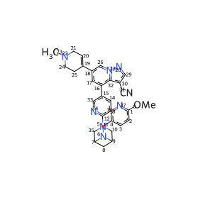 COc1ccc(CN2C3CC2CN(c2ccc(-c4cc(C5=CCN(C)CC5)cn5ncc(C#N)c45)cn2)C3)cn1